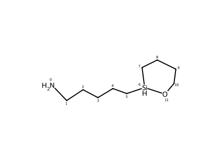 NCCCCC[SiH]1CCCCO1